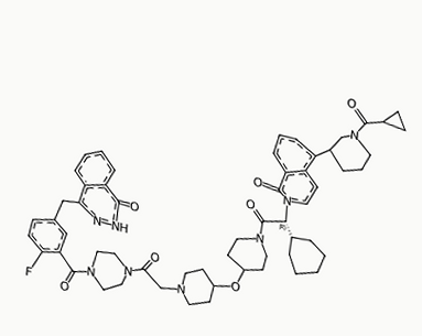 O=C(CN1CCC(OC2CCN(C(=O)[C@@H](C3CCCCC3)n3ccc4c(C5CCCN(C(=O)C6CC6)C5)cccc4c3=O)CC2)CC1)N1CCN(C(=O)c2cc(Cc3n[nH]c(=O)c4ccccc34)ccc2F)CC1